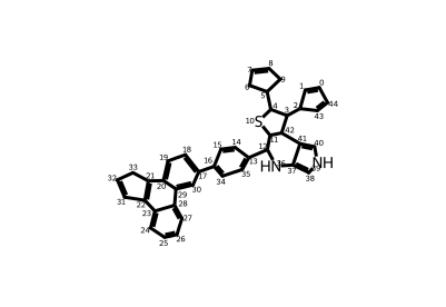 C1=CC(C2C(C3CC=CC3)SC3C(c4ccc(-c5ccc6c7c(c8ccccc8c6c5)C=CC7)cc4)Nc4c[nH]cc4C32)C=C1